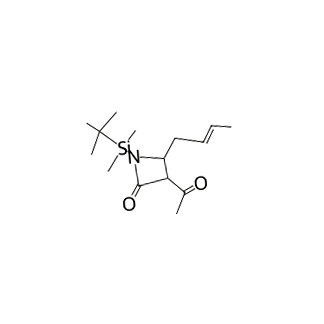 CC=CCC1C(C(C)=O)C(=O)N1[Si](C)(C)C(C)(C)C